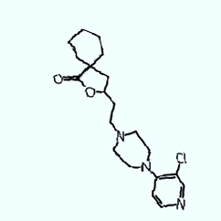 O=C1OC(CCN2CCN(c3ccncc3Cl)CC2)CC12CCCCC2